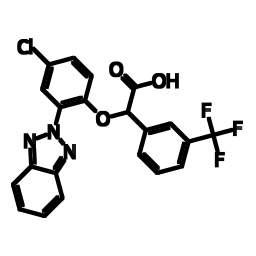 O=C(O)C(Oc1ccc(Cl)cc1-n1nc2ccccc2n1)c1cccc(C(F)(F)F)c1